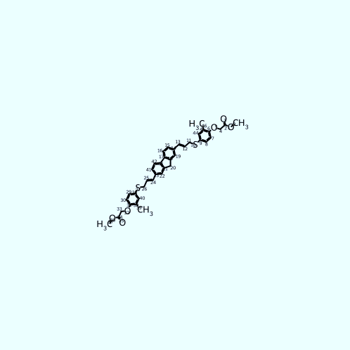 COC(=O)COc1ccc(SCC=Cc2ccc3c(c2)Cc2cc(C=CCSc4ccc(OCC(=O)OC)c(C)c4)ccc2-3)cc1C